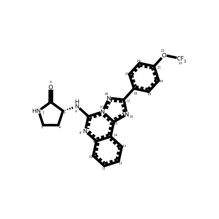 O=C1NCC[C@H]1Nc1nc2ccccc2c2nc(-c3ccc(OC(F)(F)F)cc3)nn12